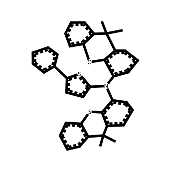 CC1(C)c2ccccc2Oc2c(N(c3ccc(-c4ccccc4)s3)c3cccc4c3Sc3ccccc3C4(C)C)cccc21